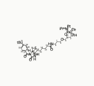 [2H]OCC(COCCCNC(=O)CCCCC1SC[C@H]2[C@@H]1NC(=O)N2C(=O)c1ccc(C(C)(C)C)cc1)OP([O][Ce])N(CC)C(C)C